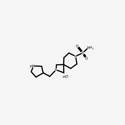 Cl.NS(=O)(=O)N1CCC2(CC1)CN(CC1CCNC1)C2